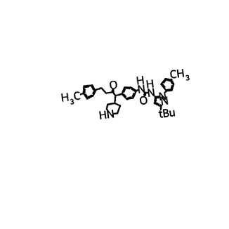 Cc1ccc(CCC(=O)C(c2ccc(NC(=O)Nc3cc(C(C)(C)C)nn3-c3ccc(C)cc3)cc2)C2CCNCC2)cc1